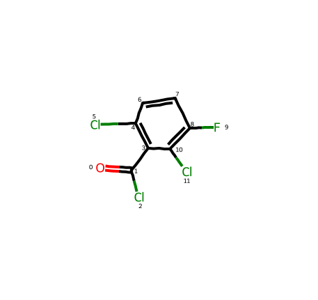 O=C(Cl)c1c(Cl)ccc(F)c1Cl